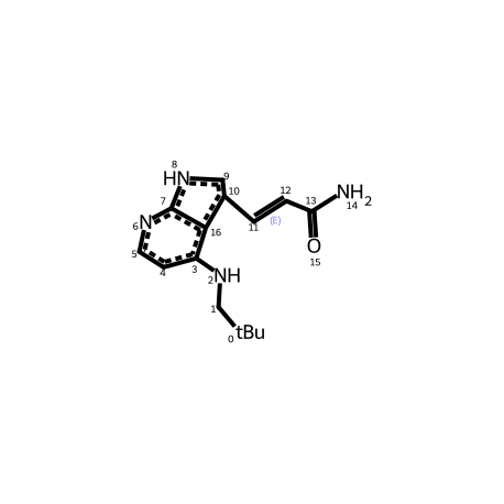 CC(C)(C)CNc1ccnc2[nH]cc(/C=C/C(N)=O)c12